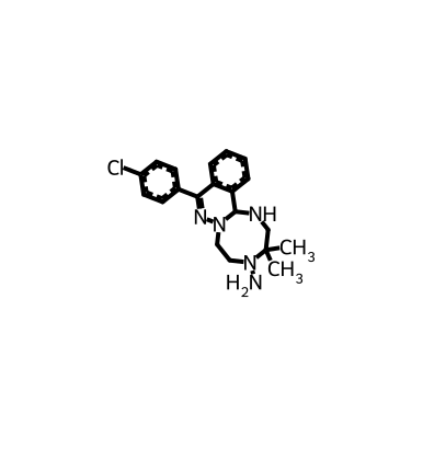 CC1(C)CNC2c3ccccc3C(c3ccc(Cl)cc3)=NN2CCN1N